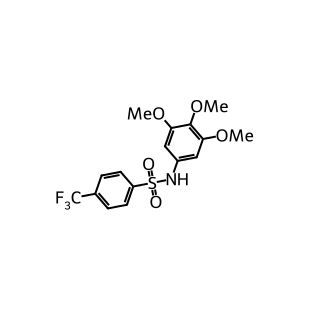 COc1cc(NS(=O)(=O)c2ccc(C(F)(F)F)cc2)cc(OC)c1OC